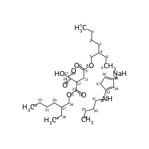 CCCCC(CC)COC(=O)CC(C(=O)OCC(CC)CCCC)S(=O)(=O)O.CCC[CH2][AlH][C]1=CC=CC1.[NaH]